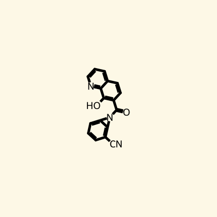 N#Cc1cccc2c1N2C(=O)c1ccc2cccnc2c1O